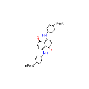 CCCCCc1ccc(NC2=C3C(=O)C=CC(Nc4ccc(CCCCC)cc4)=C3C(=O)C=C2)cc1